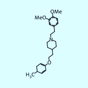 COc1ccc(CCN2CCC(CCOC3=CCC(C)C=C3)CC2)cc1OC